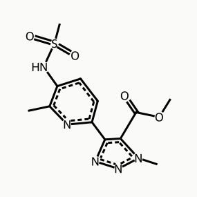 COC(=O)c1c(-c2ccc(NS(C)(=O)=O)c(C)n2)nnn1C